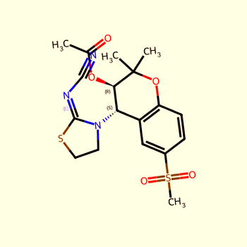 CC(=O)O[C@@H]1[C@@H](N2CCS/C2=N/C#N)c2cc(S(C)(=O)=O)ccc2OC1(C)C